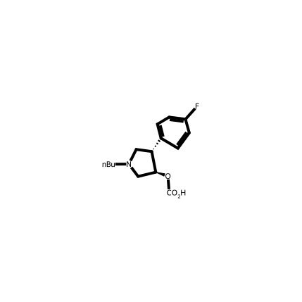 CCCCN1C[C@H](OC(=O)O)[C@@H](c2ccc(F)cc2)C1